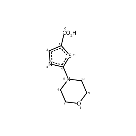 O=C(O)c1cnc(N2CCOCC2)s1